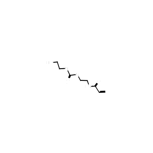 C=CC(=O)NCCNC(=O)NCCO